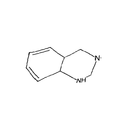 C1=CC2C[N]CNC2C=C1